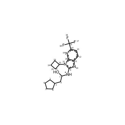 OC(CC1CCCC1)Nc1nc2ccc(C(F)(F)F)nc2n1C1CCC1